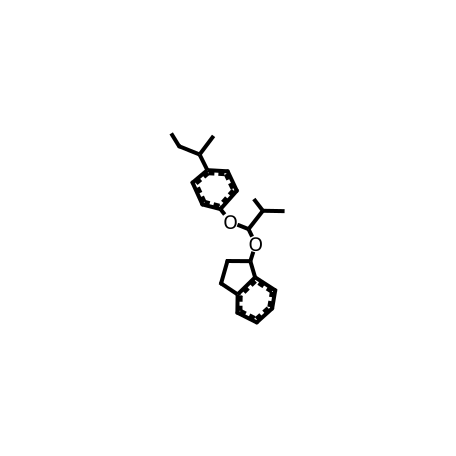 CCC(C)c1ccc(OC(OC2CCc3ccccc32)C(C)C)cc1